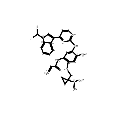 C=CC(=O)Nc1cc(Nc2nccc(-c3cn(C(F)F)c4ccccc34)n2)c(OC)cc1OCC1(N(C(=O)O)C(C)(C)C)CC1